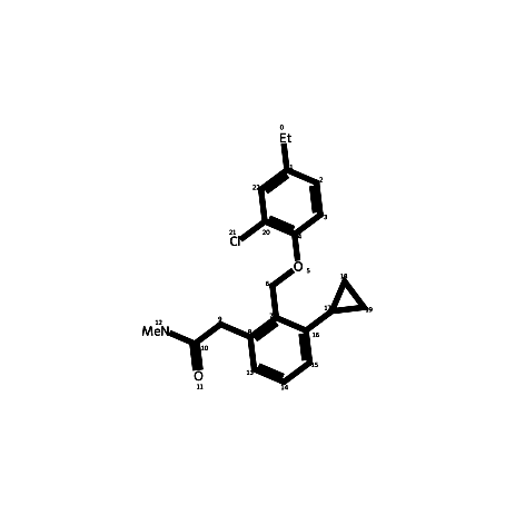 CCc1ccc(OCc2c(CC(=O)NC)cccc2C2CC2)c(Cl)c1